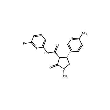 CN1C[C@@H](c2ccc(C(F)(F)F)nc2)[C@H](C(=O)Nc2cccc(F)n2)C1=O